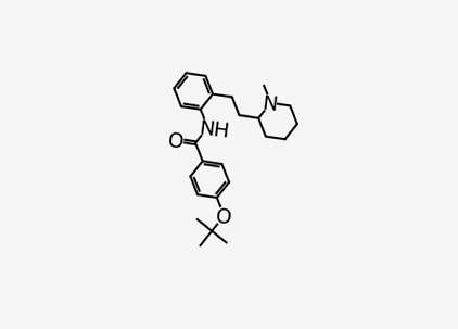 CN1CCCCC1CCc1ccccc1NC(=O)c1ccc(OC(C)(C)C)cc1